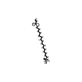 C=CC(=O)OCCCCCCCCCCCCCCCC[Si](C)(C)I